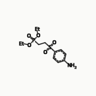 CCOP(=O)(CCS(=O)(=O)c1ccc(N)cc1)OCC